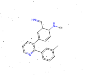 CCNC1C=CC(c2cccnc2-c2cccc(C)c2)=CC1C=N